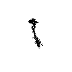 O=C1CCC(N2C(=O)c3ccc(NCCOCCOCCN4CCN(c5cccc(-c6cnc7ccc(N8CCC[C@H]8c8cccc(F)c8)nn67)n5)CC4)cc3C2=O)C(=O)N1